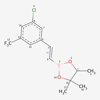 CC1OB(/C=C/c2cc(Cl)cc(C(F)(F)F)c2)OC1(C)C